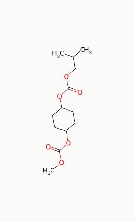 COC(=O)OC1CCC(OC(=O)OCC(C)C)CC1